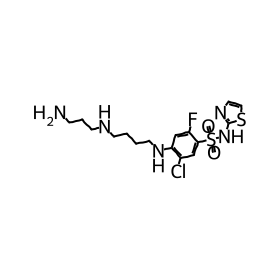 NCCCNCCCCNc1cc(F)c(S(=O)(=O)Nc2nccs2)cc1Cl